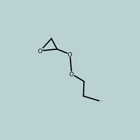 [CH2]CCOOC1CO1